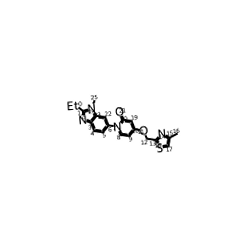 CCc1nc2ccc(-n3ccc(OCc4nc(C)cs4)cc3=O)cc2n1C